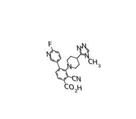 Cn1cnnc1C1CCN(c2c(-c3ccc(F)nc3)ccc(C(=O)O)c2C#N)CC1